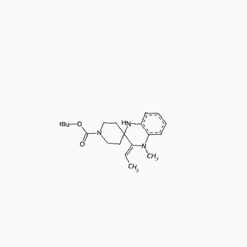 C/C=C1\N(C)c2ccccc2NC12CCN(C(=O)OC(C)(C)C)CC2